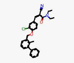 CCN(CC)C(=O)C(C#N)=Cc1ccc(OCc2cccc(-c3ccccc3)c2C)c(Cl)c1